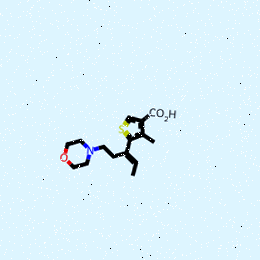 C/C=C(\CCN1CCOCC1)c1scc(C(=O)O)c1C